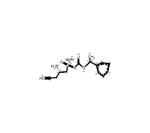 C#CC[C@H](N)C[S@@](=O)(=NC(=O)O[C@@H](C)c1ccccc1)NC(C)=O